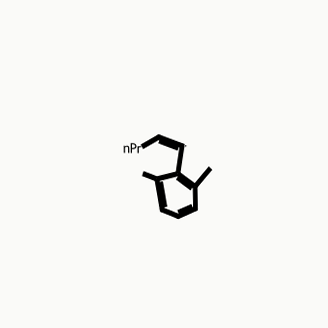 CCC/C=[C]\c1c(C)cccc1C